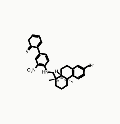 CC(C)c1ccc2c(c1)CC[C@H]1[C@@](C)(CNc3ccc(C4=CC=CCC4=S)cc3[N+](=O)[O-])CCC[C@]21C